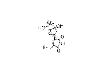 CC(=O)C(O)[C@H]1O[C@@H](n2cc(CBr)c(=O)[nH]c2=O)C[C@@]1(O)C(C)=O